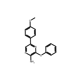 COc1ccc(-c2cnc(N)c(Sc3ccccc3)n2)cc1